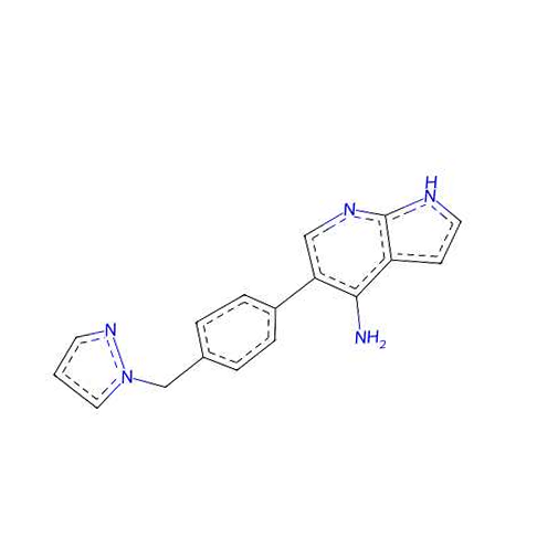 Nc1c(-c2ccc(Cn3cccn3)cc2)cnc2[nH]ccc12